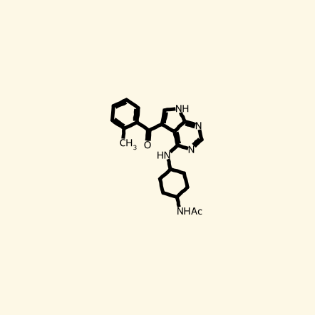 CC(=O)NC1CCC(Nc2ncnc3[nH]cc(C(=O)c4ccccc4C)c23)CC1